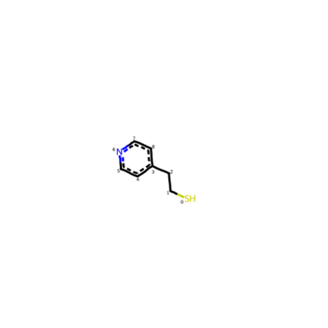 SCCc1ccncc1